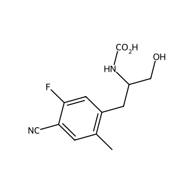 Cc1cc(C#N)c(F)cc1CC(CO)NC(=O)O